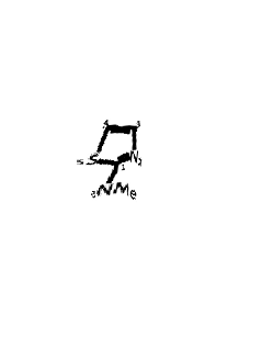 CNc1nc[c]s1